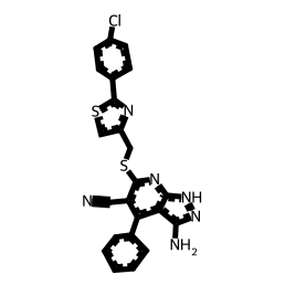 N#Cc1c(SCc2csc(-c3ccc(Cl)cc3)n2)nc2[nH]nc(N)c2c1-c1ccccc1